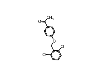 CC(=O)c1ccc(OCc2c(Cl)cccc2Cl)cc1